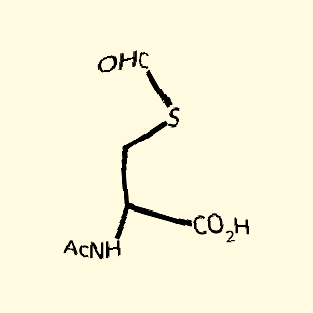 CC(=O)NC(CSC=O)C(=O)O